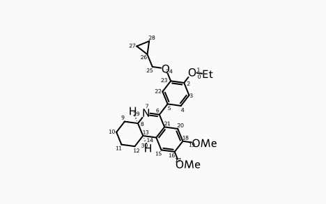 CCOc1ccc(C2=N[C@@H]3CCCC[C@@H]3c3cc(OC)c(OC)cc32)cc1OCC1CC1